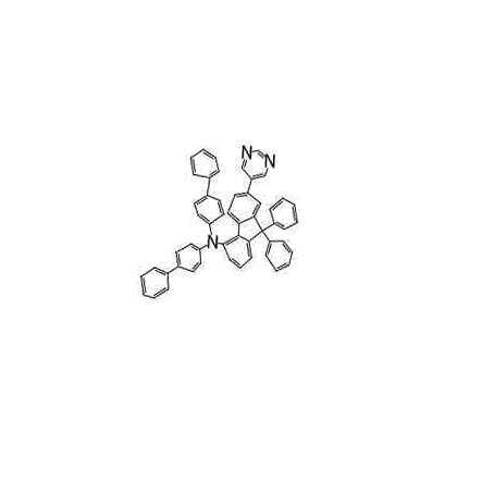 c1ccc(-c2ccc(N(c3ccc(-c4ccccc4)cc3)c3cccc4c3-c3ccc(-c5cncnc5)cc3C4(c3ccccc3)c3ccccc3)cc2)cc1